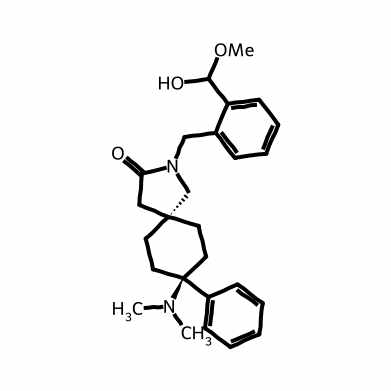 COC(O)c1ccccc1CN1C[C@]2(CC[C@](c3ccccc3)(N(C)C)CC2)CC1=O